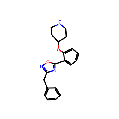 c1ccc(Cc2noc(-c3ccccc3OC3CCNCC3)n2)cc1